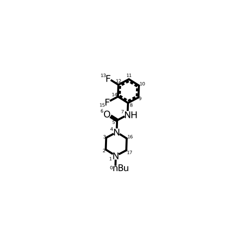 CCCCN1CCN(C(=O)Nc2cccc(F)c2F)CC1